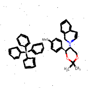 CSc1ccc([C@@H]2OC(C)(C)OC[C@@H]2[NH+]2C=Cc3ccccc3C2)cc1.c1ccc([B-](c2ccccc2)(c2ccccc2)c2ccccc2)cc1